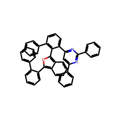 c1ccc(-c2cc(-c3cccc(-c4ccccc4)c3-c3oc(-c4ccccc4-c4ccccc4)c4ccccc34)nc(-c3ccccc3)n2)cc1